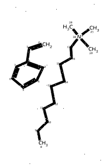 C=Cc1ccccc1.CCCCCCCCCC[N+](C)(C)C